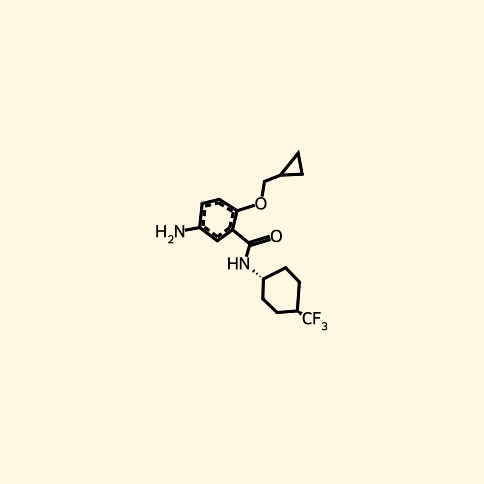 Nc1ccc(OCC2CC2)c(C(=O)N[C@H]2CC[C@H](C(F)(F)F)CC2)c1